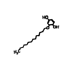 CCCCCCCCCCCCCCOc1cc(O)ccc1O